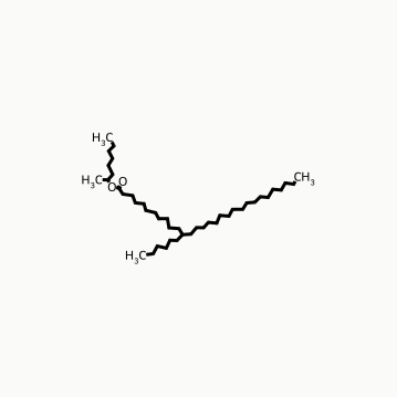 CCCCCCCCCCCCCCCCCCC(CCCCCC)CCCCCCCCCCC(=O)OC(C)CCCCCC